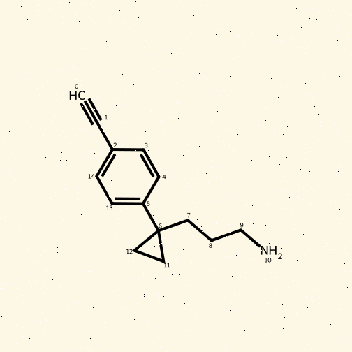 C#Cc1ccc(C2(CCCN)CC2)cc1